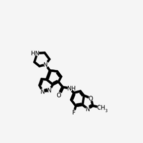 Cc1nc2c(F)cc(NC(=O)c3ccc(N4CCNCC4)c4ccnnc34)cc2o1